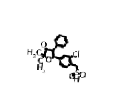 CC1(C)OC(c2ccc(C[SH](=O)=O)c(Cl)c2)=C(c2ccccc2)C1=O